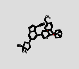 CCc1ccc(CN2C3CC2CN(c2ccc(-c4cc(N5CCC(C)(O)C5)cn5ncc(C#N)c45)cn2)C3)cn1